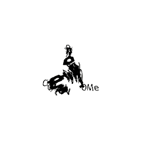 COC(C)CCOc1nn([C@H]2CC[C@H](N3C[C@@H](C)O[C@@H](C)C3)CC2)cc1Nc1ncc(-c2ccc(Cl)c(O[C@@H](C)Cn3cncn3)c2)cn1